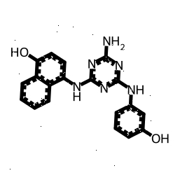 Nc1nc(Nc2cccc(O)c2)nc(Nc2ccc(O)c3ccccc23)n1